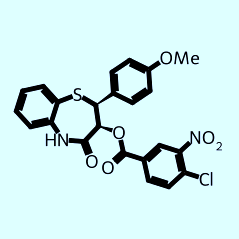 COc1ccc([C@@H]2Sc3ccccc3NC(=O)[C@@H]2OC(=O)c2ccc(Cl)c([N+](=O)[O-])c2)cc1